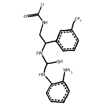 CCC(=O)NCC(NC(S)Nc1ccccc1N)c1cccc(C(F)(F)F)c1